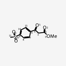 COC(=O)[CH]C(=O)c1ccc(S(C)(=O)=O)cc1